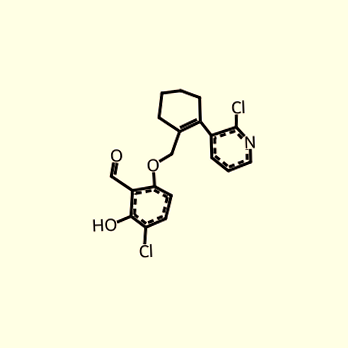 O=Cc1c(OCC2=C(c3cccnc3Cl)CCCC2)ccc(Cl)c1O